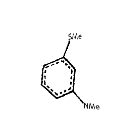 CNc1cc[c]c(SC)c1